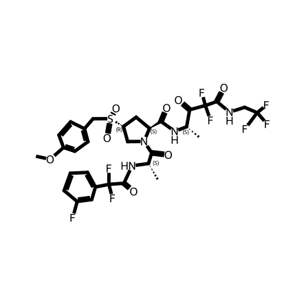 COc1ccc(CS(=O)(=O)[C@@H]2C[C@@H](C(=O)N[C@@H](C)C(=O)C(F)(F)C(=O)NCC(F)(F)F)N(C(=O)[C@H](C)NC(=O)C(F)(F)c3cccc(F)c3)C2)cc1